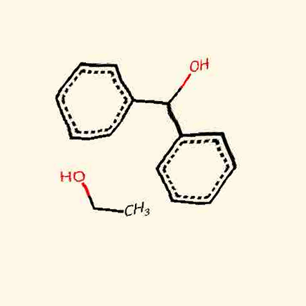 CCO.OC(c1ccccc1)c1ccccc1